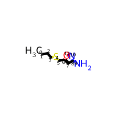 CCCCSCc1cc(N)no1